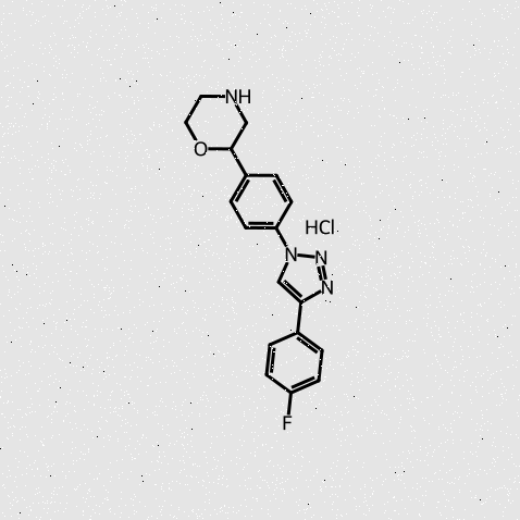 Cl.Fc1ccc(-c2cn(-c3ccc(C4CNCCO4)cc3)nn2)cc1